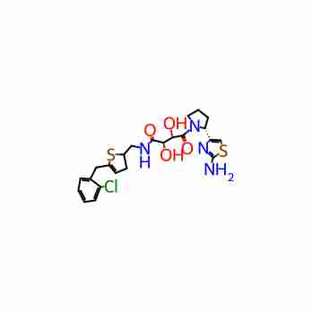 Nc1nc([C@H]2CCCN2C(=O)[C@H](O)[C@@H](O)C(=O)NCC2CC=C(Cc3ccccc3Cl)S2)cs1